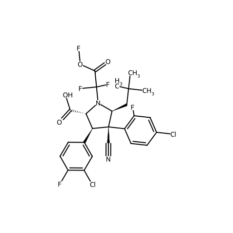 CC(C)(C)C[C@@H]1N(C(F)(F)C(=O)OF)[C@@H](C(=O)O)[C@H](c2ccc(F)c(Cl)c2)[C@@]1(C#N)c1ccc(Cl)cc1F